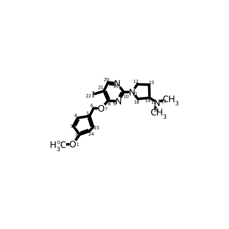 COc1ccc(COc2nc(N3CCC(N(C)C)C3)ncc2I)cc1